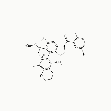 Cc1cc2c(c(-c3cc(F)c4c(c3C)CCCO4)c1[C@H](OC(C)(C)C)C(=O)O)CCN2C(=O)c1cc(F)ccc1F